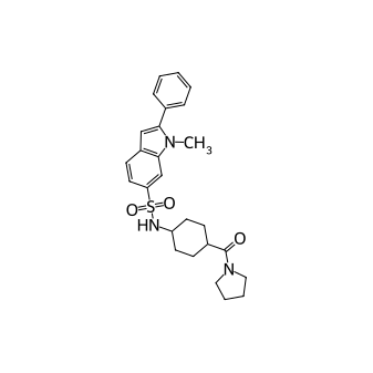 Cn1c(-c2ccccc2)cc2ccc(S(=O)(=O)NC3CCC(C(=O)N4CCCC4)CC3)cc21